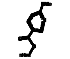 CCCCCCOC(=O)c1ccc(NC)nc1